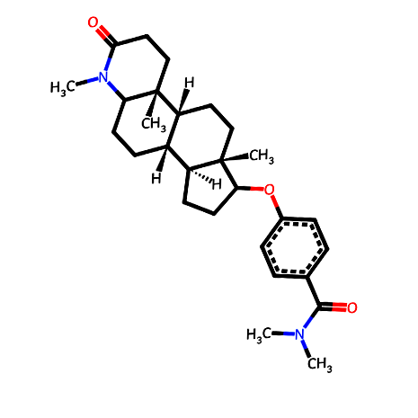 CN(C)C(=O)c1ccc(OC2CC[C@H]3[C@@H]4CCC5N(C)C(=O)CC[C@]5(C)[C@@H]4CC[C@]23C)cc1